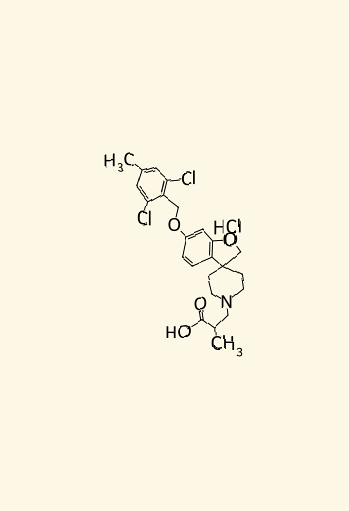 Cc1cc(Cl)c(COc2ccc3c(c2)OCC32CCN(CC(C)C(=O)O)CC2)c(Cl)c1.Cl